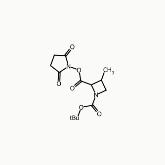 CC1CN(C(=O)OC(C)(C)C)C1C(=O)ON1C(=O)CCC1=O